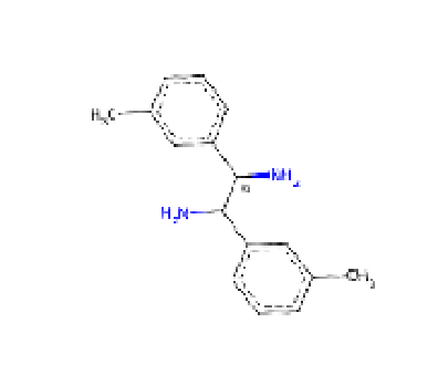 Cc1cccc(C(N)[C@H](N)c2cccc(C)c2)c1